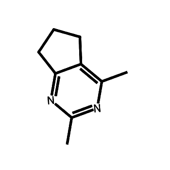 Cc1nc(C)c2c(n1)CCC2